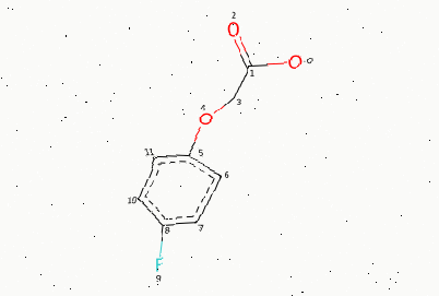 [O]C(=O)COc1ccc(F)cc1